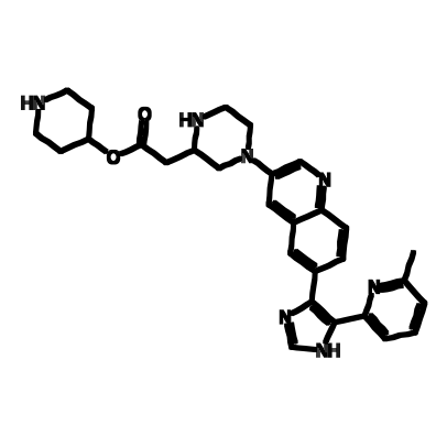 Cc1cccc(-c2[nH]cnc2-c2ccc3ncc(N4CCNC(CC(=O)OC5CCNCC5)C4)cc3c2)n1